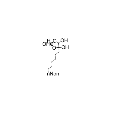 CCCCCCCCCCCCCCCC(O)(O[C]=O)C(C)O